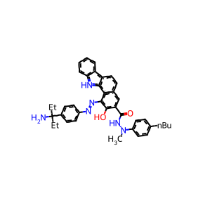 CCCCc1ccc(N(C)NC(=O)c2cc3ccc4c5ccccc5[nH]c4c3c(N=Nc3ccc(C(N)(CC)CC)cc3)c2O)cc1